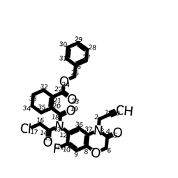 C#CCN1C(=O)COc2cc(F)c(N(C(=O)CCl)C(=O)C3=C(C(=O)OCc4ccccc4)CCCC3)cc21